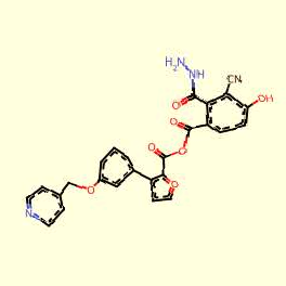 N#Cc1c(O)ccc(C(=O)OC(=O)c2occc2-c2cccc(OCc3ccncc3)c2)c1C(=O)NN